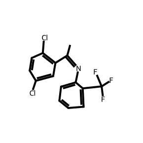 CC(=Nc1ccccc1C(F)(F)F)c1cc(Cl)ccc1Cl